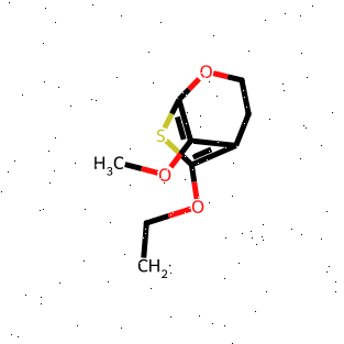 [CH2]COc1sc2c(OC)c1CCO2